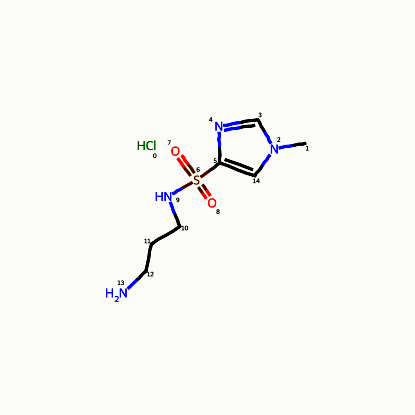 Cl.Cn1cnc(S(=O)(=O)NCCCN)c1